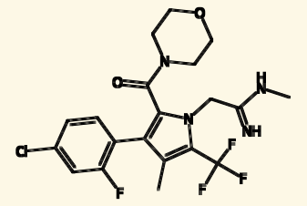 CNC(=N)Cn1c(C(=O)N2CCOCC2)c(-c2ccc(Cl)cc2F)c(C)c1C(F)(F)F